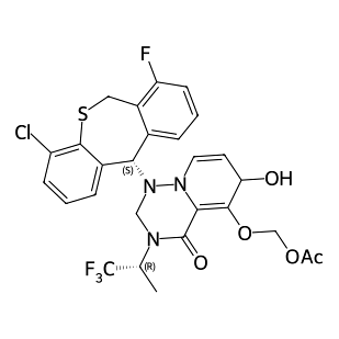 CC(=O)OCOC1=C2C(=O)N([C@H](C)C(F)(F)F)CN([C@H]3c4cccc(F)c4CSc4c(Cl)cccc43)N2C=CC1O